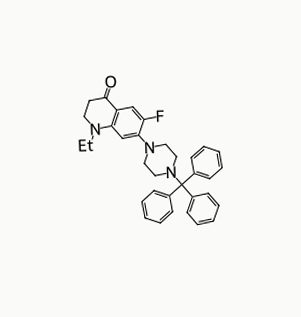 CCN1CCC(=O)c2cc(F)c(N3CCN(C(c4ccccc4)(c4ccccc4)c4ccccc4)CC3)cc21